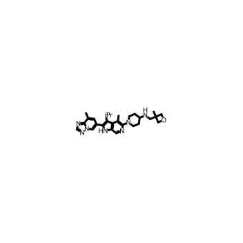 Cc1c(N2CCC(NCC3(C)COC3)CC2)ncc2[nH]c(-c3cc(C)c4ncnn4c3)c(C(C)C)c12